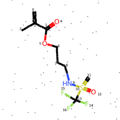 C=C(C)C(=O)OCCCNS(=C)(=O)C(F)(F)F